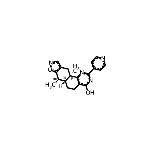 C[C@H]1c2oncc2C[C@@]2(C)c3nc(-c4ccncc4)nc(O)c3CC[C@H]12